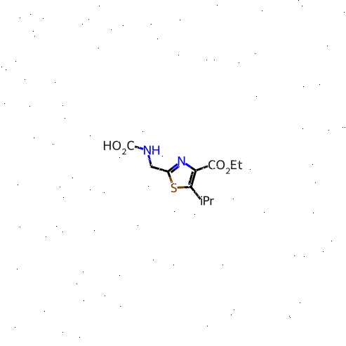 CCOC(=O)c1nc(CNC(=O)O)sc1C(C)C